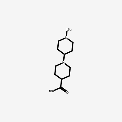 CC(C)(C)C(=O)C1CCN(C2CCN(C(C)(C)C)CC2)CC1